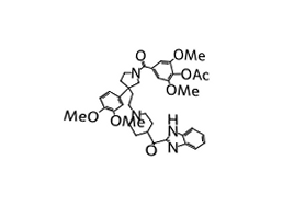 COc1ccc(C2(CCN3CCC(C(=O)c4nc5ccccc5[nH]4)CC3)CCN(C(=O)c3cc(OC)c(OC(C)=O)c(OC)c3)C2)cc1OC